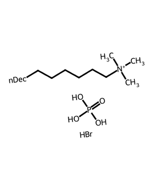 Br.CCCCCCCCCCCCCCCC[N+](C)(C)C.O=P(O)(O)O